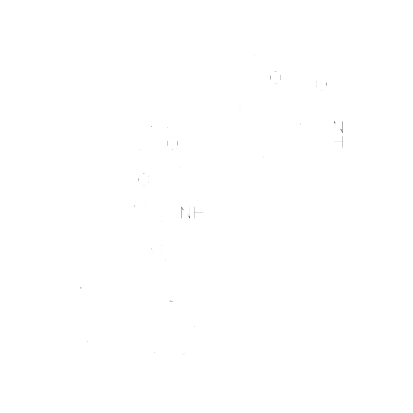 CNC(=O)c1ccc(CCC(NC(=O)OCC2c3ccccc3-c3ccccc32)C(=O)OC(C)(C)C)cc1OC